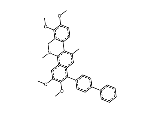 COc1ccc2c(c1OC)CN(C)c1c-2c(C)cc2c(-c3ccc(-c4ccccc4)cc3)c(OC)c(OC)cc12